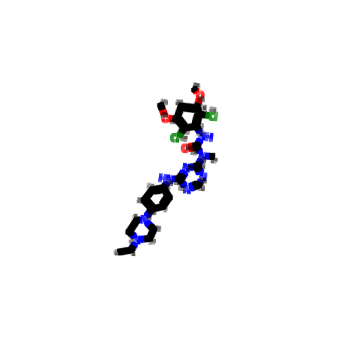 CCN1CCN(c2ccc(Nc3ncnc(N(C)C(=O)Nc4c(Cl)c(OC)cc(OC)c4Cl)n3)cc2)CC1